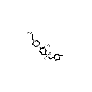 O=[N+]([O-])c1cc(S(=O)(=O)Cc2ccc(F)cc2)ccc1N1CCN(CCO)CC1